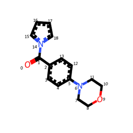 O=C(c1ccc(N2CCOCC2)cc1)n1cccc1